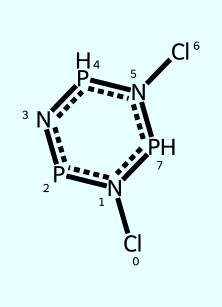 Cln1pn[pH]n(Cl)[pH]1